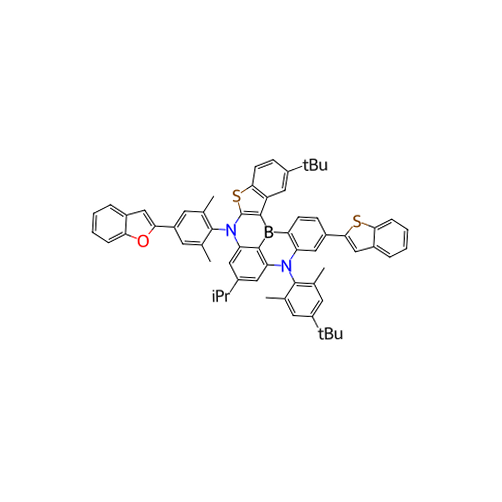 Cc1cc(C(C)(C)C)cc(C)c1N1c2cc(-c3cc4ccccc4s3)ccc2B2c3c1cc(C(C)C)cc3N(c1c(C)cc(-c3cc4ccccc4o3)cc1C)c1sc3ccc(C(C)(C)C)cc3c12